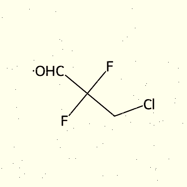 O=[C]C(F)(F)CCl